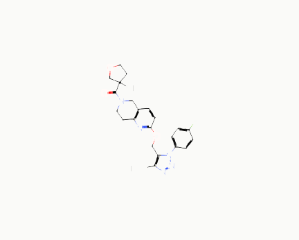 Cc1nnn(-c2ccc(F)cc2)c1COc1ccc2c(n1)CCN(C(=O)C1(C)CCOC1)C2